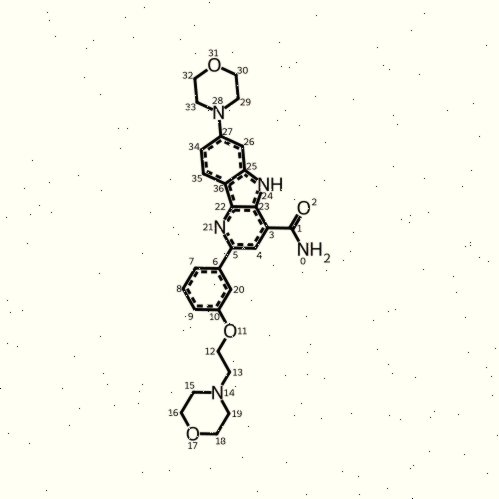 NC(=O)c1cc(-c2cccc(OCCN3CCOCC3)c2)nc2c1[nH]c1cc(N3CCOCC3)ccc12